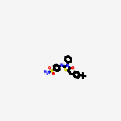 CC(C)(C)c1ccc(C=C2S/C(=N\c3ccc(S(N)(=O)=O)cc3)N(C3CCCCC3)C2=O)cc1